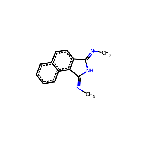 C/N=C1\N/C(=N\C)c2c1ccc1ccccc21